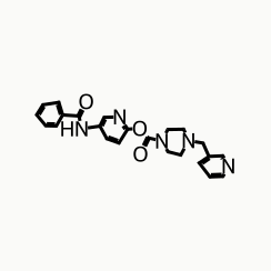 O=C(Nc1ccc(OC(=O)N2CCN(Cc3cccnc3)CC2)nc1)c1ccccc1